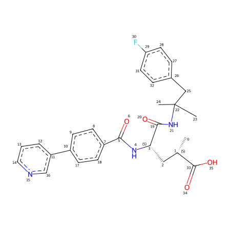 C[C@@H](C[C@H](NC(=O)c1ccc(-c2cccnc2)cc1)C(=O)NC(C)(C)Cc1ccc(F)cc1)C(=O)O